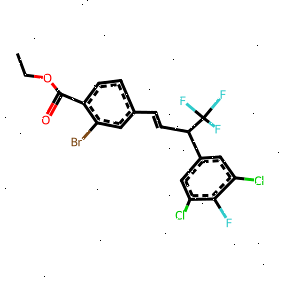 CCOC(=O)c1ccc(/C=C/C(c2cc(Cl)c(F)c(Cl)c2)C(F)(F)F)cc1Br